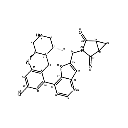 C[C@H]1CNC[C@H](C)N1Cc1c(Cl)cc(Cl)cc1-c1ccnc2cc(CN3C(=O)C4CC4C3=O)sc12